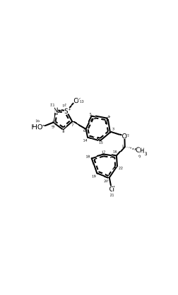 C[C@@H](Oc1ccc(-c2cc(O)n[s+]2[O-])cc1)c1cccc(Cl)c1